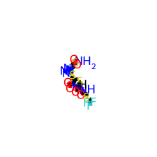 NS(=O)(=O)CCn1nnnc1SCC1=C(C(=O)O)N2C(=O)C(NC(=O)CSCC(F)(F)F)[C@H]2SC1